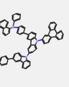 c1ccc(-c2ccc3c(c2)c2ccccc2n3-c2ccc3c(c2)c2cc(-c4ccc(N(c5ccccc5)c5cccc6ccccc56)cc4)ccc2n3-c2ccc3c4ccccc4c4ccccc4c3c2)cc1